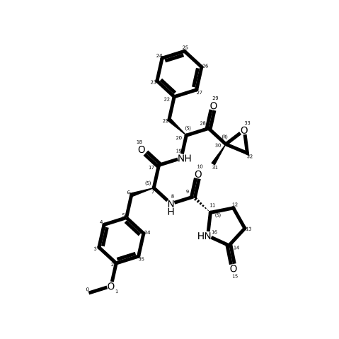 COc1ccc(C[C@H](NC(=O)[C@@H]2CCC(=O)N2)C(=O)N[C@@H](Cc2ccccc2)C(=O)[C@@]2(C)CO2)cc1